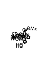 COCCC(=O)N1CCN2C(C(c3ccccc3)c3ccccc3)CN(Cc3c(OC)ccc(-n4nnnc4C(F)(F)F)c3OC)C[C@@H]2C1.Cl.Cl